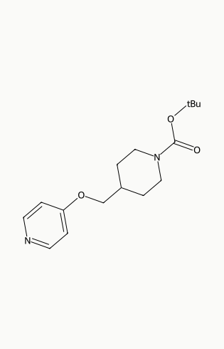 CC(C)(C)OC(=O)N1CCC(COc2ccncc2)CC1